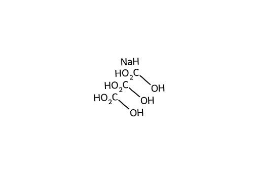 O=C(O)O.O=C(O)O.O=C(O)O.[NaH]